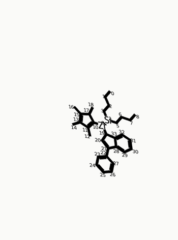 CCCC[Si](CCCC)=[Zr]([C]1=C(C)C(C)=C(C)C1C)[CH]1C=C(c2ccccc2)c2ccccc21